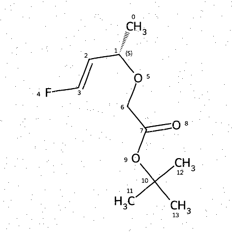 C[C@@H](C=CF)OCC(=O)OC(C)(C)C